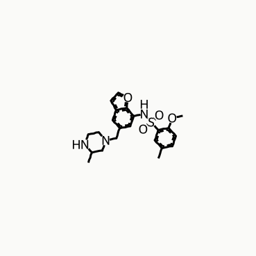 COc1ccc(C)cc1S(=O)(=O)Nc1cc(CN2CCNC(C)C2)cc2ccoc12